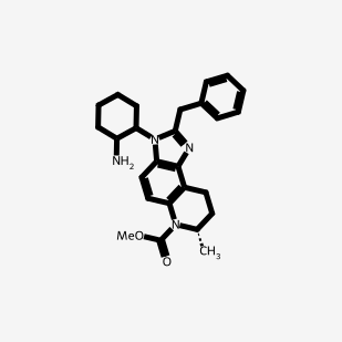 COC(=O)N1c2ccc3c(nc(Cc4ccccc4)n3C3CCCCC3N)c2CC[C@@H]1C